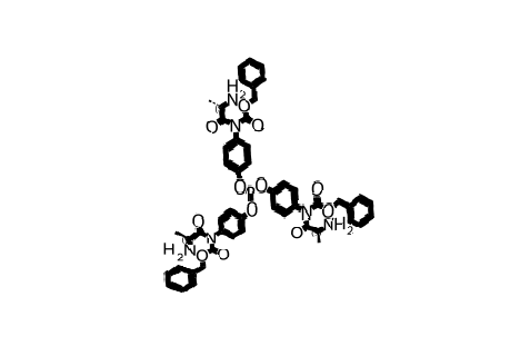 C[C@H](N)C(=O)N(C(=O)OCc1ccccc1)c1ccc(OP(Oc2ccc(N(C(=O)OCc3ccccc3)C(=O)[C@H](C)N)cc2)Oc2ccc(N(C(=O)OCc3ccccc3)C(=O)[C@H](C)N)cc2)cc1